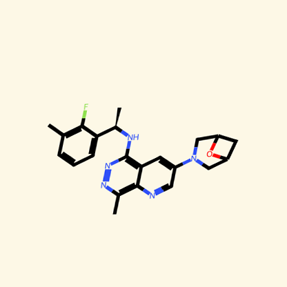 Cc1cccc([C@@H](C)Nc2nnc(C)c3ncc(N4CC5CC(C4)O5)cc23)c1F